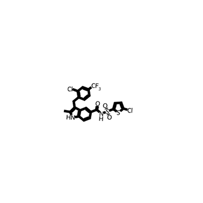 Cc1[nH]c2ccc(C(=O)NS(=O)(=O)c3ccc(Cl)s3)cc2c1Cc1ccc(C(F)(F)F)cc1Cl